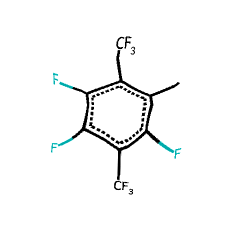 Cc1c(F)c(C(F)(F)F)c(F)c(F)c1C(F)(F)F